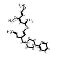 C=CCC(/C=C/OC(=C)/C=C(\C=C\OC)OC)CN1CCN(c2ccccn2)CC1